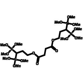 CO[Si](OC)(OC)C(CCOC(=O)CCC(=O)OCCC([Si](OC)(OC)OC)[Si](OC)(OC)OC)[Si](OC)(OC)OC